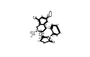 CN1Cc2c(Cl)cc(Cl)cc2[C@H](c2ccccc2N2C(=O)CCC2=O)C1